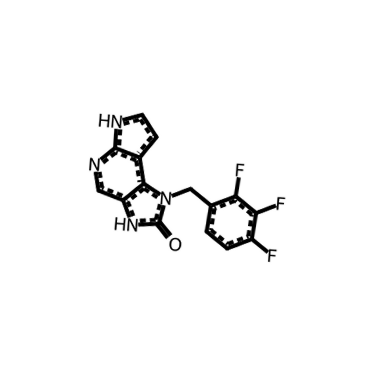 O=c1[nH]c2cnc3[nH]ccc3c2n1Cc1ccc(F)c(F)c1F